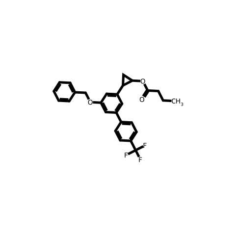 CCCC(=O)OC1CC1c1cc(OCc2ccccc2)cc(-c2ccc(C(F)(F)F)cc2)c1